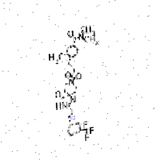 Cc1cc(C(=O)N(C)C)ccc1CCS(=O)(=O)N1CCC2(CC1)N=C(/C=C/c1cccc(C(F)(F)F)c1)NC2=O